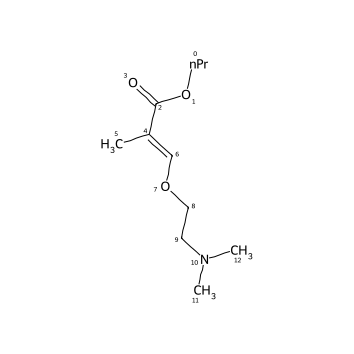 CCCOC(=O)C(C)=COCCN(C)C